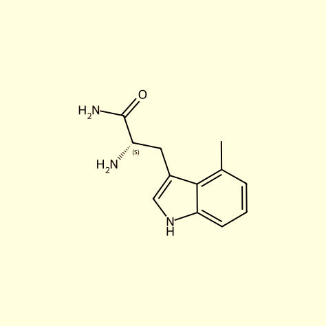 Cc1cccc2[nH]cc(C[C@H](N)C(N)=O)c12